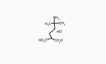 CC(C)(N)CCC(C(=O)O)C(=O)O.Cl